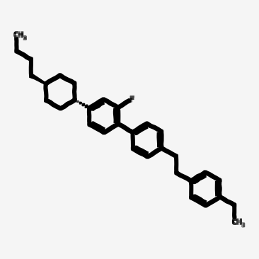 CCCC[C@H]1CC[C@H](c2ccc(-c3ccc(CCc4ccc(CC)cc4)cc3)c(F)c2)CC1